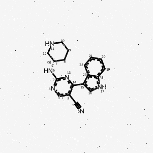 N#Cc1cnc(N[C@H]2CCCNC2)nc1-c1c[nH]c2ccccc12